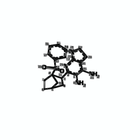 Nc1c(C2CC3CCC2(S(=O)(=O)c2ccccc2)C3)nc2[nH]ccc2c1N